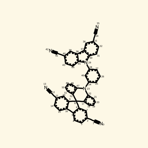 N#Cc1ccc2c(c1)C1(c3cc(C#N)ccc3-2)c2ccccc2N(c2cccc(-n3c4ccc(C#N)cc4c4cc(C#N)ccc43)c2)c2ccccc21